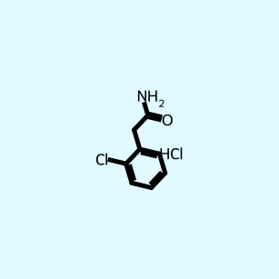 Cl.NC(=O)Cc1ccccc1Cl